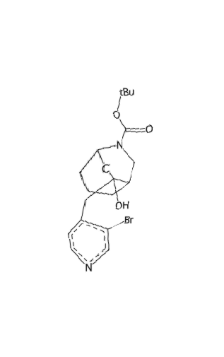 CC(C)(C)OC(=O)N1CC2CCCC1CC2(O)Cc1ccncc1Br